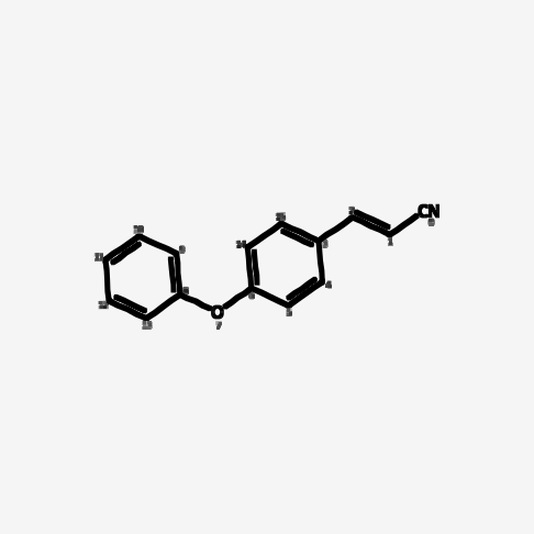 N#CC=Cc1ccc(Oc2ccccc2)cc1